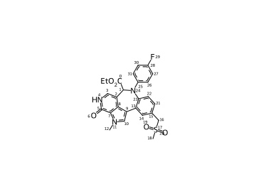 CCOC(=O)C1c2c[nH]c(=O)c3c2c(cn3C)-c2cc(CS(C)(=O)=O)ccc2N1c1ccc(F)cc1